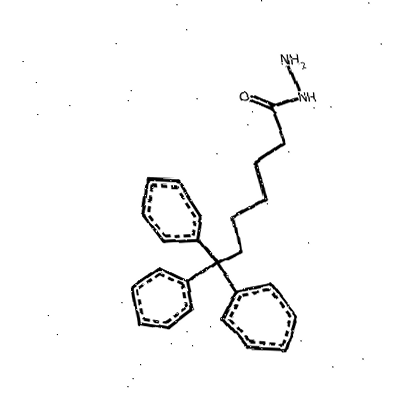 NNC(=O)CCCCCC(c1ccccc1)(c1ccccc1)c1ccccc1